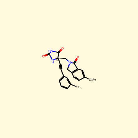 COc1ccc2c(c1)C(=O)N(C[C@@]1(C#Cc3cccc(C(F)(F)F)c3)NC(=O)NC1=O)C2